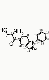 NC(CO)C(=O)N1CCc2c(cnn2-c2ccccc2)C1